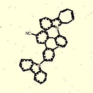 N#Cc1ccc(-c2ccccc2-n2c3c(c4ccccc42)C=CC=CC3)c(-c2cc(-n3c4ccccc4c4ccccc43)ccc2C#N)c1